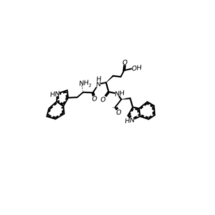 N[C@@H](Cc1c[nH]c2ccccc12)C(=O)N[C@@H](CCC(=O)O)C(=O)N[C@H]([C]=O)Cc1c[nH]c2ccccc12